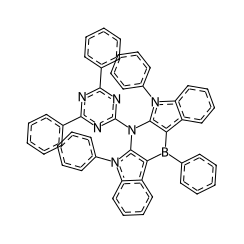 c1ccc(B2c3c(n(-c4ccccc4)c4ccccc34)N(c3nc(-c4ccccc4)nc(-c4ccccc4)n3)c3c2c2ccccc2n3-c2ccccc2)cc1